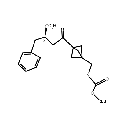 CC(C)(C)OC(=O)NCC12CC(C(=O)C[C@@H](Cc3ccccc3)C(=O)O)(C1)C2